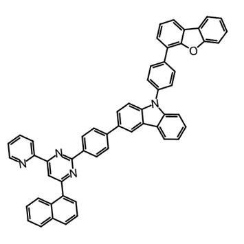 c1ccc(-c2cc(-c3cccc4ccccc34)nc(-c3ccc(-c4ccc5c(c4)c4ccccc4n5-c4ccc(-c5cccc6c5oc5ccccc56)cc4)cc3)n2)nc1